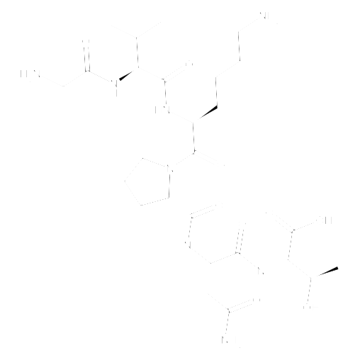 CC(C)[C@H](NC(=O)CN)C(=O)N[C@@H](CCCCN)C(=O)N1CCC[C@H]1C(=O)N[C@@H](CC(N)=O)C(=O)N[C@H](C(=O)O)[C@@H](C)O